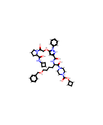 O=C(NC(CCCCOCc1ccccc1)C(=O)N1CCN(C(=O)OC2CCC2)CC1)c1cc(OCC(=O)N2CCCC2C(=O)NC2CCC2)n(-c2ccccc2)n1